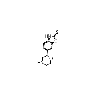 S=c1[nH]c2ccc(C3CNCCO3)cc2o1